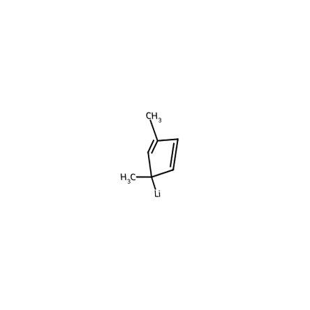 [Li][C]1(C)C=CC(C)=C1